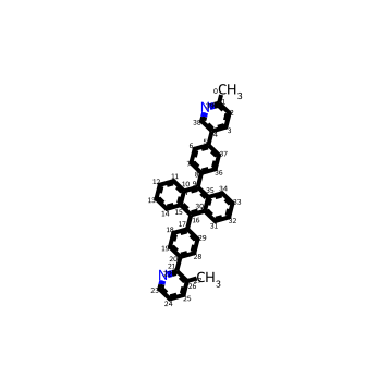 Cc1ccc(-c2ccc(-c3c4ccccc4c(-c4ccc(-c5ncccc5C)cc4)c4ccccc34)cc2)cn1